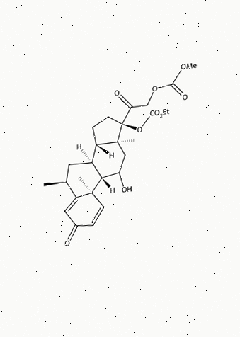 CCOC(=O)O[C@]1(C(=O)COC(=O)OC)CC[C@H]2[C@@H]3C[C@H](C)C4=CC(=O)C=C[C@]4(C)[C@H]3C(O)C[C@@]21C